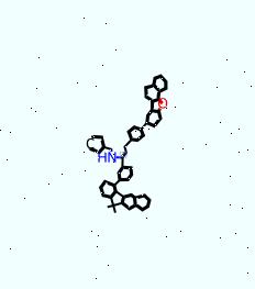 CC1(C)c2cc3ccccc3cc2-c2c(-c3cccc(/C(=C/Cc4ccc(-c5ccc6oc7c8ccccc8ccc7c6c5)cc4)NCc4ccccc4)c3)cccc21